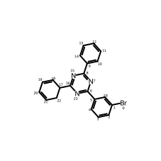 Brc1cccc(-c2nc(-c3ccccc3)nc(C3C=CC=CC3)n2)c1